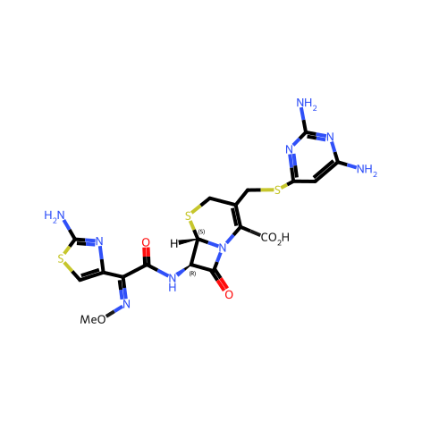 CON=C(C(=O)N[C@@H]1C(=O)N2C(C(=O)O)=C(CSc3cc(N)nc(N)n3)CS[C@@H]12)c1csc(N)n1